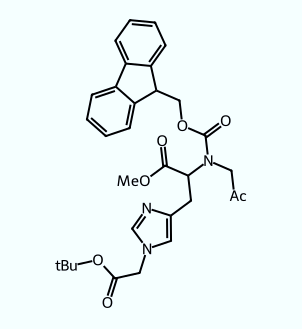 COC(=O)C(Cc1cn(CC(=O)OC(C)(C)C)cn1)N(CC(C)=O)C(=O)OCC1c2ccccc2-c2ccccc21